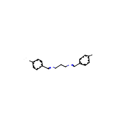 CCc1ccc(/C=N/CCC/N=C/c2ccc(OC)cc2)cc1